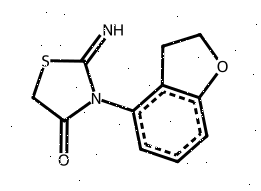 N=C1SCC(=O)N1c1cccc2c1CCO2